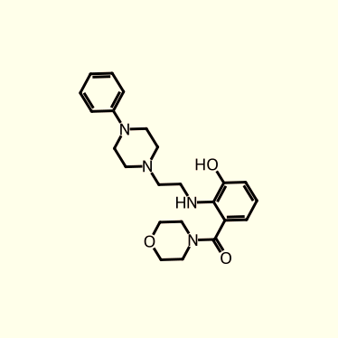 O=C(c1cccc(O)c1NCCN1CCN(c2ccccc2)CC1)N1CCOCC1